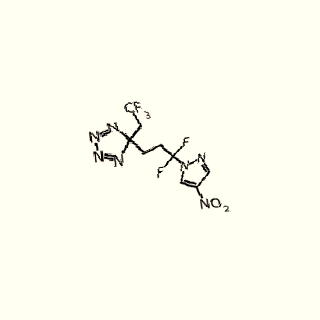 O=[N+]([O-])c1cnn(C(F)(F)CCC2(CC(F)(F)F)N=NN=N2)c1